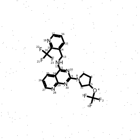 FC(F)(F)OC1CCN(c2nc(NCc3cccnc3C(F)(F)F)c3cccnc3n2)C1